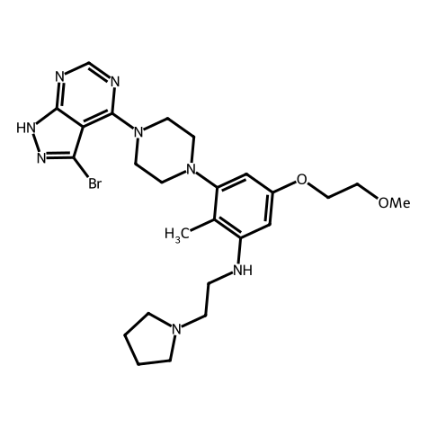 COCCOc1cc(NCCN2CCCC2)c(C)c(N2CCN(c3ncnc4[nH]nc(Br)c34)CC2)c1